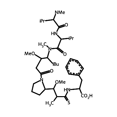 CCC(C)C(C(CC(=O)N1CCCC1C(OC)C(C)C(=S)NC(Cc1ccccc1)C(=O)O)OC)N(C)C(=O)C(NC(=O)C(NC)C(C)C)C(C)C